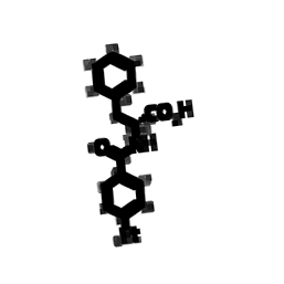 CCc1ccc(C(=O)N[C@H](Cc2ccccc2)C(=O)O)cc1